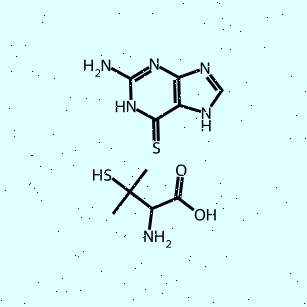 CC(C)(S)C(N)C(=O)O.Nc1nc2nc[nH]c2c(=S)[nH]1